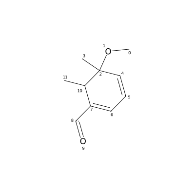 COC1(C)C=CC=C([C]=O)C1C